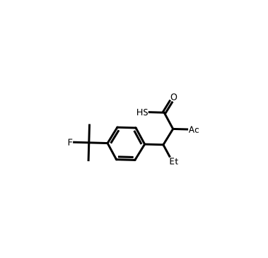 CCC(c1ccc(C(C)(C)F)cc1)C(C(C)=O)C(=O)S